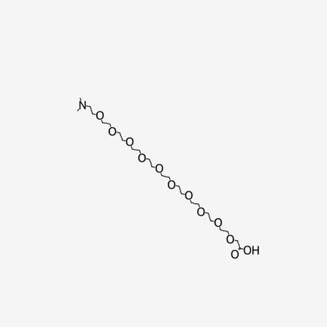 CN(C)CCOCCOCCOCCOCCOCCOCCOCCOCCOCCOCC(=O)O